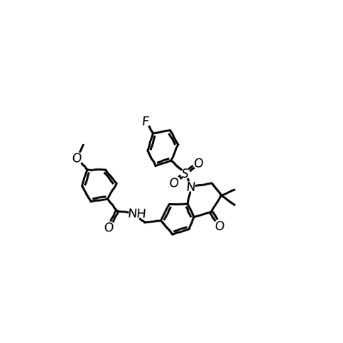 COc1ccc(C(=O)NCc2ccc3c(c2)N(S(=O)(=O)c2ccc(F)cc2)CC(C)(C)C3=O)cc1